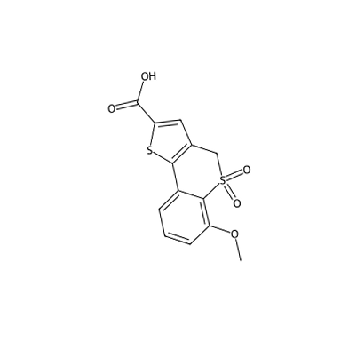 COc1cccc2c1S(=O)(=O)Cc1cc(C(=O)O)sc1-2